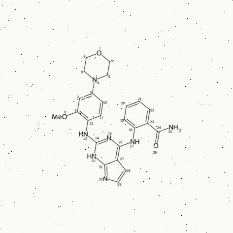 COc1cc(N2CCOCC2)ccc1Nc1nc(Nc2ccccc2C(N)=O)c2ccnc-2[nH]1